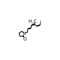 CC(/C=C\I)=C/C=C/CN1CCCC1=O